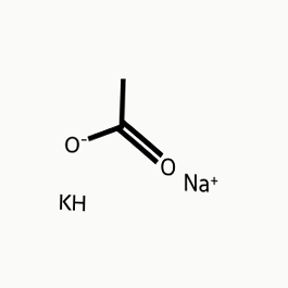 CC(=O)[O-].[KH].[Na+]